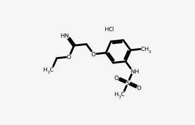 CCOC(=N)COc1ccc(C)c(NS(C)(=O)=O)c1.Cl